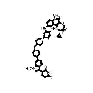 Cn1nc(C2CCC(=O)NC2=O)c2ccc(C3CCN(CC4CCN(c5ncc(F)c(Nc6ccc7c(c6)c6c(c(=O)n7C)OCC(F)(F)[C@H](C7CC7)N6)n5)CC4)CC3)cc21